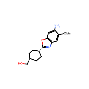 COc1cc2nc([C@H]3CC[C@H](CO)CC3)oc2cc1N